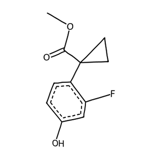 COC(=O)C1(c2ccc(O)cc2F)CC1